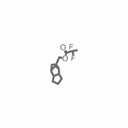 CC(F)(F)C(=O)OCC1CC2CC1C1CCCC21